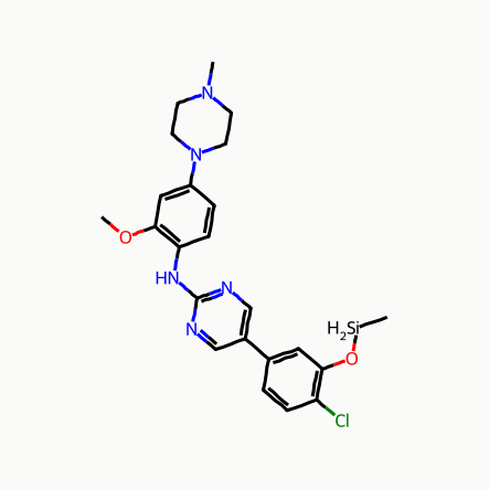 COc1cc(N2CCN(C)CC2)ccc1Nc1ncc(-c2ccc(Cl)c(O[SiH2]C)c2)cn1